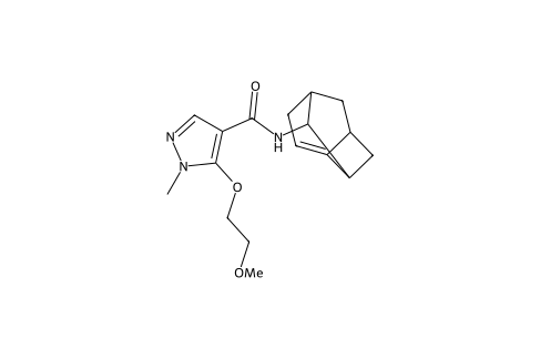 COCCOc1c(C(=O)NC2C3CC=C4C(C3)CC42)cnn1C